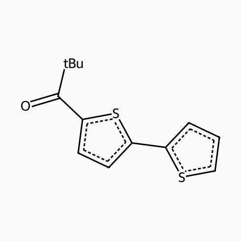 CC(C)(C)C(=O)c1ccc(-c2cccs2)s1